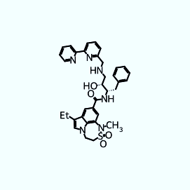 CCc1cn2c3c(cc(C(=O)N[C@@H](Cc4ccccc4)[C@H](O)CNCc4cccc(-c5ccccn5)n4)cc13)N(C)S(=O)(=O)CC2